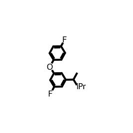 CC(C)C(C)c1cc(F)cc(Oc2ccc(F)cc2)c1